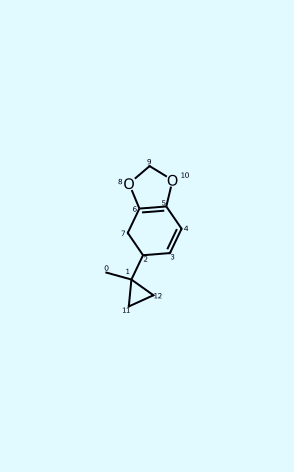 CC1(C2C=CC3=C(C2)OCO3)CC1